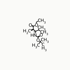 C=C(C(=O)OCC)[C@H](NC(=O)OC(C)(C)C)C(C)C